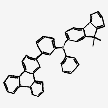 CC1(C)c2ccccc2-c2ccc(N(c3ccccc3)c3cccc(-c4ccc5c6ccccc6c6ccccc6c5c4)c3)cc21